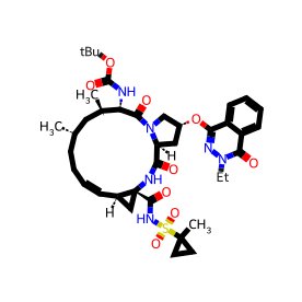 CCn1nc(O[C@@H]2C[C@H]3C(=O)N[C@]4(C(=O)NS(=O)(=O)C5(C)CC5)C[C@H]4/C=C\CC[C@H](C)C[C@@H](C)[C@H](NC(=O)OC(C)(C)C)C(=O)N3C2)c2ccccc2c1=O